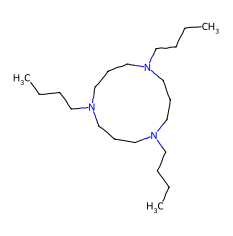 CCCCN1CCCN(CCCC)CCCN(CCCC)CCC1